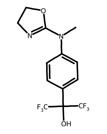 CN(C1=NCCO1)c1ccc(C(O)(C(F)(F)F)C(F)(F)F)cc1